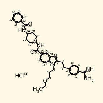 CCOCCCn1c(CCc2ccc(C(=N)N)cc2)nc2cc(C(=O)NN3CCC(NC(=O)c4ccccc4)CC3)ccc21.Cl